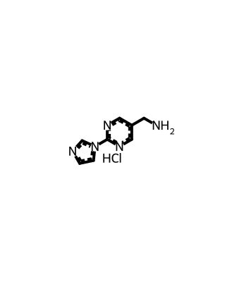 Cl.NCc1cnc(-n2ccnc2)nc1